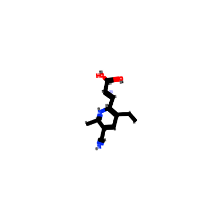 CCc1cc(C#N)c(C)nc1/C=C/C(=O)O